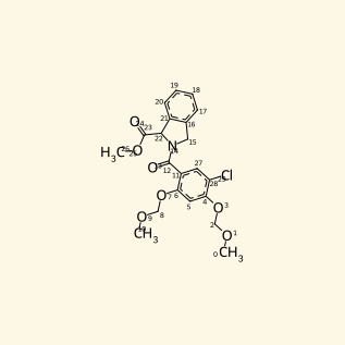 COCOc1cc(OCOC)c(C(=O)N2Cc3ccccc3C2C(=O)OC)cc1Cl